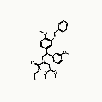 CCOC(=O)N(CC(OC)OC)CC(c1cccc(OC)c1)c1ccc(OC)c(OCc2ccccc2)c1